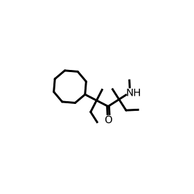 CCC(C)(NC)C(=O)C(C)(CC)C1CCCCCCC1